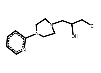 OC(CCl)CN1CCN(c2ccccn2)CC1